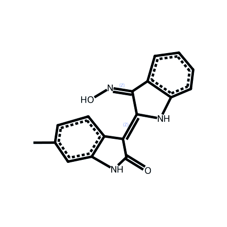 Cc1ccc2c(c1)NC(=O)/C2=C1\Nc2ccccc2\C1=N\O